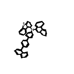 c1ccc2c(-c3ccc(-c4ccc(N(c5cc6ccccc6c6ccccc56)c5cccc6sc7ccccc7c56)cc4)cc3)cccc2c1